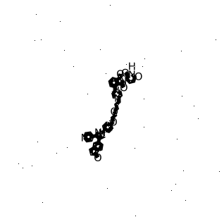 O=C1CCC(N2C(=O)c3cccc(N4CCN(CCCOCCOc5ccc(-n6cc(-c7ccc8c(c7)CCC8=O)c(-c7ccncc7)n6)cc5)CC4)c3C2=O)C(=O)N1